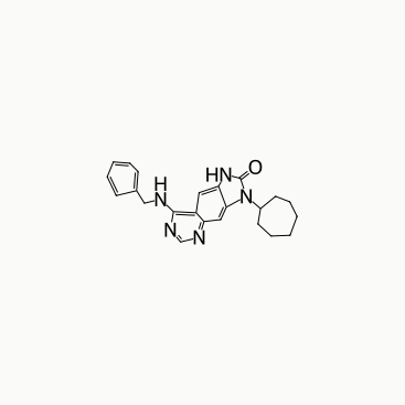 O=c1[nH]c2cc3c(NCc4ccccc4)ncnc3cc2n1C1CCCCCC1